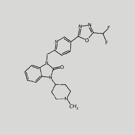 CN1CCC(n2c(=O)n(Cc3ccc(-c4nnc(C(F)F)o4)cn3)c3ccccc32)CC1